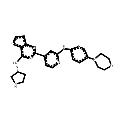 c1cc(-c2nc(N[C@@H]3CCNC3)c3sccc3n2)cc(Nc2ccc(N3CCOCC3)cn2)n1